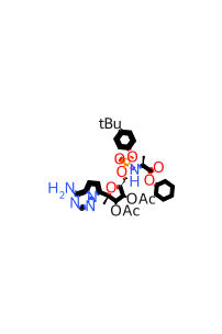 CC(=O)O[C@H]1[C@@H](OC(C)=O)[C@](C)(c2ccc3c(N)ncnn23)O[C@@H]1COP(=O)(N[C@@H](C)C(=O)OC1CCCCC1)Oc1ccc(C(C)(C)C)cc1